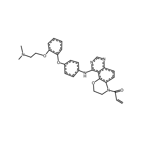 C=CC(=O)N1CCOc2c1ccc1ncnc(Nc3ccc(Oc4ccccc4OCCN(C)C)cc3)c21